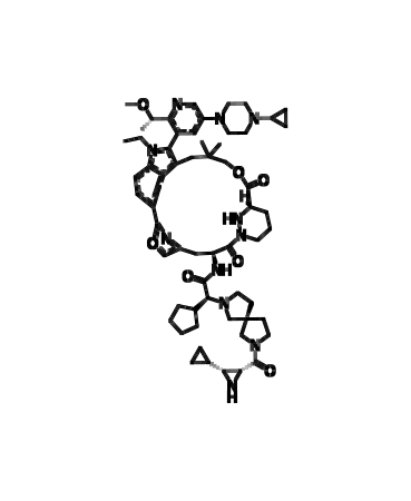 CCn1c(-c2cc(N3CCN(C4CC4)CC3)cnc2[C@H](C)OC)c2c3cc(ccc31)-c1nc(co1)C[C@H](NC(=O)[C@H](C1CCCC1)N1CC[C@]3(CCN(C(=O)[C@@H]4N[C@@H]4C4CC4)C3)C1)C(=O)N1CCC[C@H](N1)C(=O)OCC(C)(C)C2